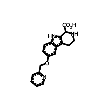 O=C(O)C1NCCc2c1[nH]c1ccc(OCc3ccccn3)cc21